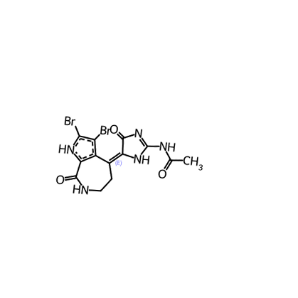 CC(=O)NC1=NC(=O)/C(=C2/CCNC(=O)c3[nH]c(Br)c(Br)c32)N1